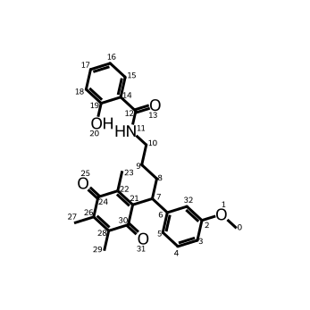 COc1cccc(C(CCCNC(=O)c2ccccc2O)C2=C(C)C(=O)C(C)=C(C)C2=O)c1